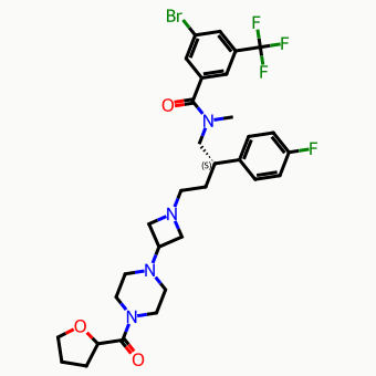 CN(C[C@@H](CCN1CC(N2CCN(C(=O)C3CCCO3)CC2)C1)c1ccc(F)cc1)C(=O)c1cc(Br)cc(C(F)(F)F)c1